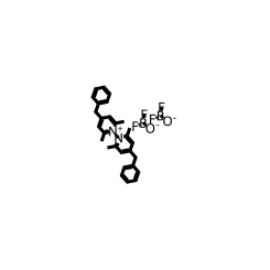 Cc1cc(Cc2ccccc2)cc(C)[n+]1-[n+]1c(C)cc(Cc2ccccc2)cc1C.[O-]B(F)F.[O-]B(F)F